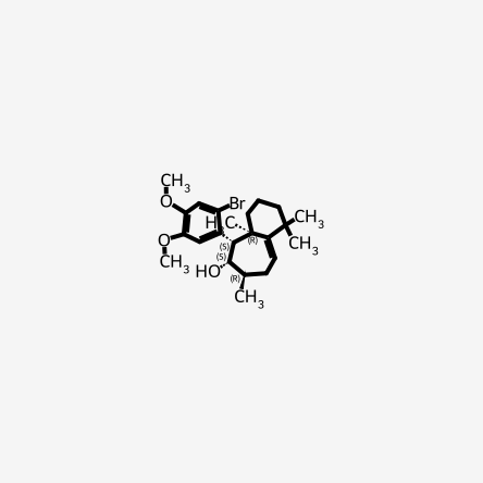 COc1cc(Br)c([C@H]2[C@@H](O)[C@H](C)CC=C3C(C)(C)CCC[C@@]32C)cc1OC